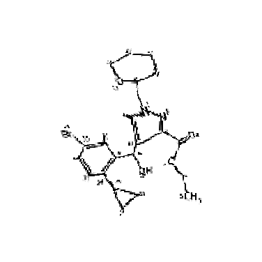 CCOC(=O)c1nn(C2CCCCO2)cc1C(O)c1cc(Br)ccc1C1CC1